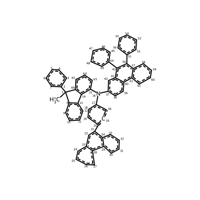 CC1(c2ccccc2)c2ccccc2-c2c(N(c3ccc(-c4cc5ccccc5c5ccccc45)cc3)c3ccc4c(c3)c(-c3ccccc3)c(-c3ccccc3)c3ccccc34)cccc21